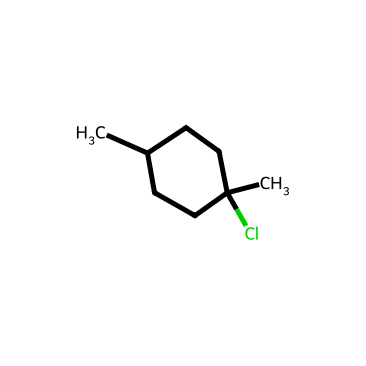 CC1CCC(C)(Cl)CC1